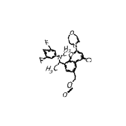 CC(c1cc(COC=O)cc2c(=O)cc(N3CCOCC3)oc12)N(C)c1cc(F)cc(F)c1